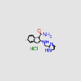 Cl.NC(=O)C1c2cc[c]cc2CC1NCc1ncc[nH]1